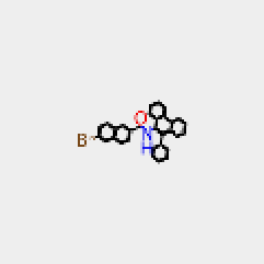 O=C(Nc1c(-c2ccccc2)c2ccccc2c2ccccc12)c1ccc2cc(Br)ccc2c1